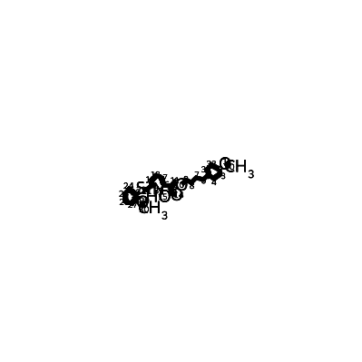 COc1ccc(CCCCOC=C(C(=O)O)c2cccc(CSc3ccccc3OC)n2)cc1